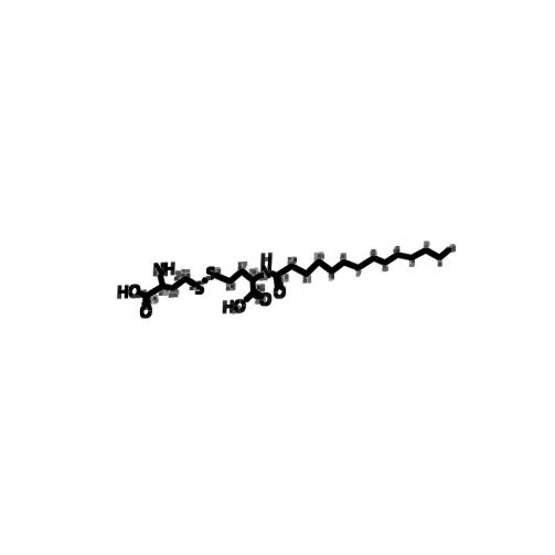 CCCCCCCCCCCCCC(=O)NC(CCSSCCC(N)C(=O)O)C(=O)O